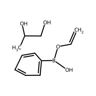 C=COB(O)c1ccccc1.CC(O)CO